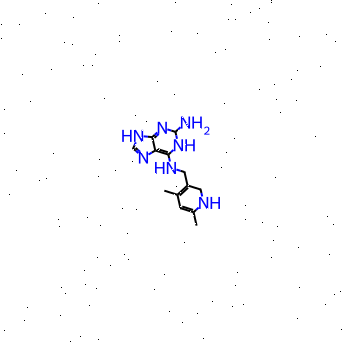 CC1=CC(C)=C(CNC2=c3nc[nH]c3=NC(N)N2)CN1